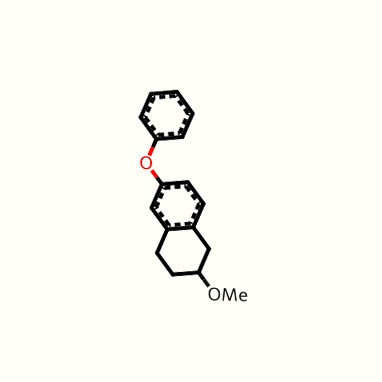 COC1CCc2cc(Oc3ccccc3)ccc2C1